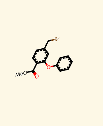 COC(=O)c1ccc(CBr)cc1Oc1ccccc1